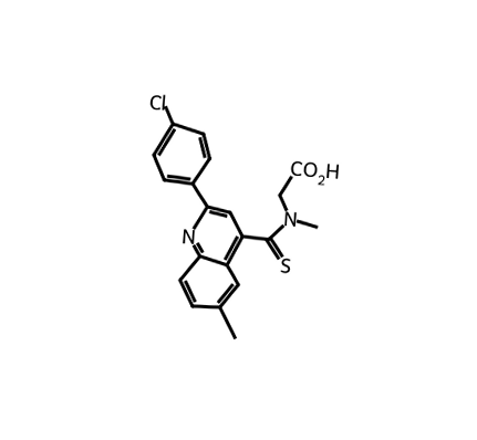 Cc1ccc2nc(-c3ccc(Cl)cc3)cc(C(=S)N(C)CC(=O)O)c2c1